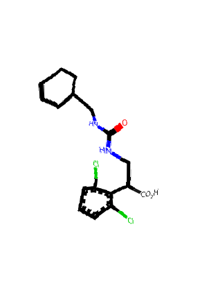 O=C(NCC1CCCCC1)NCC(C(=O)O)c1c(Cl)cccc1Cl